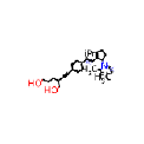 C=C(CC)N(/C=C\C)C1CCC=C1/C=C(/c1ccc(C#CC(CO)CCCO)cc1)C(C)C